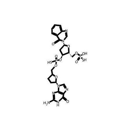 Nc1nc2c(ncn2[C@H]2CCC(COP(=O)(S)O[C@H]3C[C@H](n4cnc5ccccc5c4=O)O[C@@H]3COP(=O)(O)S)O2)c(=O)[nH]1